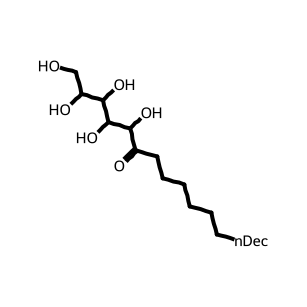 CCCCCCCCCCCCCCCCC(=O)C(O)C(O)C(O)C(O)CO